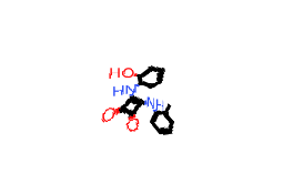 Cc1ccccc1Nc1c(Nc2ccccc2O)c(=O)c1=O